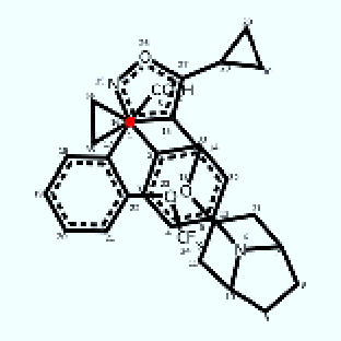 O=C(O)C1(c2ccc(N3C4CCC3CC(OCc3c(-c5ccccc5OC(F)(F)F)noc3C3CC3)C4)cc2)CC1